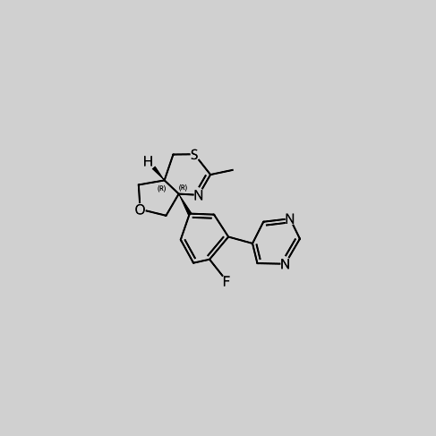 CC1=N[C@]2(c3ccc(F)c(-c4cncnc4)c3)COC[C@@H]2CS1